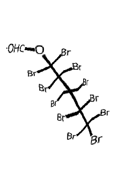 O=[C]OC(Br)(Br)C(Br)(Br)C(Br)(Br)C(Br)(Br)C(Br)(Br)Br